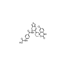 O=C(O)Nc1ccc(C(=O)N[C@@H](Cc2cscn2)C(=O)N2CCC[C@@]3(C2)OC(=O)Nc2ccc(Cl)cc23)cc1